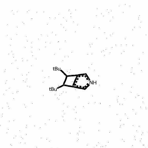 CC(C)(C)C1c2c[nH]cc2C1C(C)(C)C